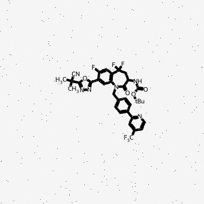 CC(C)(C)OC(=O)NC1CC(F)(F)c2cc(F)c(-c3nnc(C(C)(C)C#N)o3)cc2N(Cc2ccc(-c3cc(C(F)(F)F)ccn3)cc2)C1=O